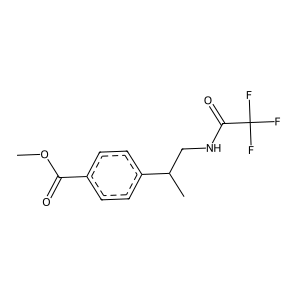 COC(=O)c1ccc(C(C)CNC(=O)C(F)(F)F)cc1